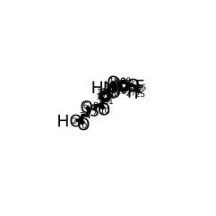 O=C(O)CCC(=O)SCC(=O)c1ccc(NS(=O)(=O)c2ccc(OC(F)(F)F)cc2)cc1